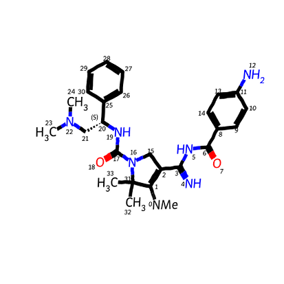 CNC1=C(C(=N)NC(=O)c2ccc(N)cc2)CN(C(=O)N[C@H](CN(C)C)c2ccccc2)C1(C)C